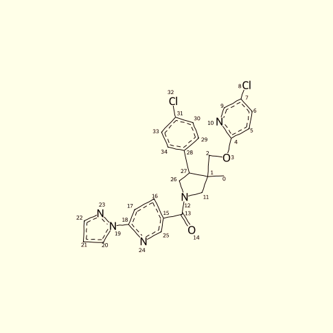 CC1(COc2ccc(Cl)cn2)CN(C(=O)c2ccc(-n3cccn3)nc2)CC1c1ccc(Cl)cc1